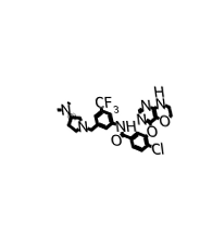 CN(C)[C@@H]1CCN(Cc2cc(NC(=O)c3ccc(Cl)c(Oc4ncnc5c4OCCN5)c3)cc(C(F)(F)F)c2)C1